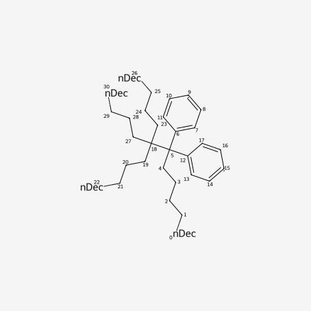 CCCCCCCCCCCCCCC(c1cc[c]cc1)(c1cc[c]cc1)C(CCCCCCCCCCCCC)(CCCCCCCCCCCCC)CCCCCCCCCCCCC